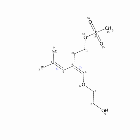 CC/C(F)=C\C(=C/OCCO)CCOS(C)(=O)=O